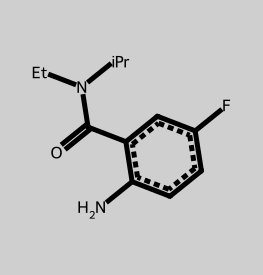 CCN(C(=O)c1cc(F)ccc1N)C(C)C